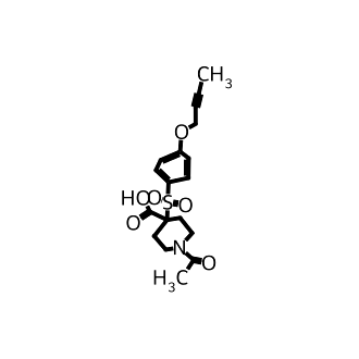 CC#CCOc1ccc(S(=O)(=O)C2(C(=O)O)CCN(C(C)=O)CC2)cc1